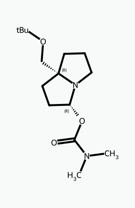 CN(C)C(=O)O[C@@H]1CC[C@@]2(COC(C)(C)C)CCCN12